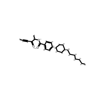 CC#CC(=O)C(C)OC(=O)c1ccc([C@H]2CC[C@H](CCCCCCC)CC2)cc1